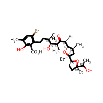 CC[C@@H](C(=O)[C@@H](C)[C@@H](O)[C@H](C)CCc1c(Br)cc(C)c(O)c1C(=O)O)[C@H]1O[C@](CC)([C@H]2CC[C@@](CC)([C@@H](C)O)O2)C[C@@H]1C